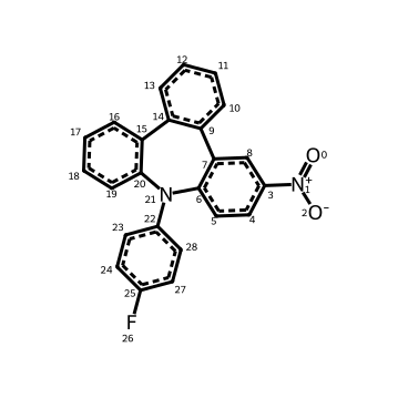 O=[N+]([O-])c1ccc2c(c1)-c1ccccc1-c1ccccc1N2c1ccc(F)cc1